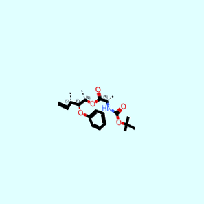 C=C[C@H](C)[C@@H](Oc1ccccc1)[C@H](C)OC(=O)[C@H](C)NC(=O)OC(C)(C)C